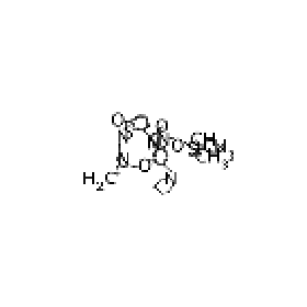 C=CCN1C2CCC1Cn1sc3c(cccc3c1=O)-c1nc3c(cc(CN4CCCCC4)cc3n(COCC[Si](C)(C)C)c1=O)OC2